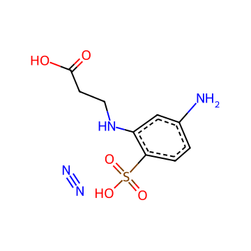 N#N.Nc1ccc(S(=O)(=O)O)c(NCCC(=O)O)c1